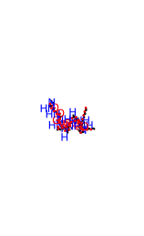 CCCCCCCC[C@H](NC(=O)[C@@H]1CCCN1C(=O)CCCCC)C(=O)N[C@@H](CC(C)C)C(=O)NC(C)(C)C(=O)N[C@@H](CC(C)C)C(=O)N[C@@H](CC(C)C)C(=O)NC(C)(C)C(=O)NC(C)(C)C(=O)NCCC(=O)NC(C)(C)CN(C)C